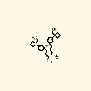 CCCC[C]1([Hf+2][C]2(CCCC)C=CC([Si]3(CC)CCC3)=C2)C=CC([Si]2(CC)CCC2)=C1.[Cl-].[Cl-]